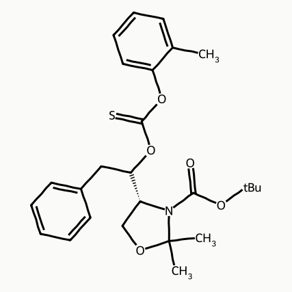 Cc1ccccc1OC(=S)OC(Cc1ccccc1)[C@H]1COC(C)(C)N1C(=O)OC(C)(C)C